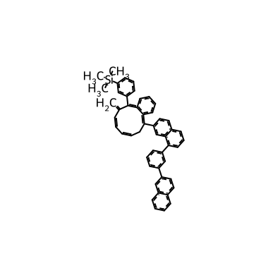 C=C1/C=C\C=C/C/C(c2ccc3cccc(-c4cccc(-c5ccc6ccccc6c5)c4)c3c2)=c2/cccc/c2=C/1c1cccc([Si](C)(C)C)c1